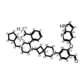 CC(C)c1ccccc1C1CN(CC2CCCC2)CCN1C1CC2(CCN(c3ccc(C=O)c(Oc4cnc5[nH]ccc5c4)c3)CC2)C1